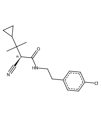 CC(C)(C1CC1)[C@H](C#N)C(=O)NCCc1ccc(Cl)cc1